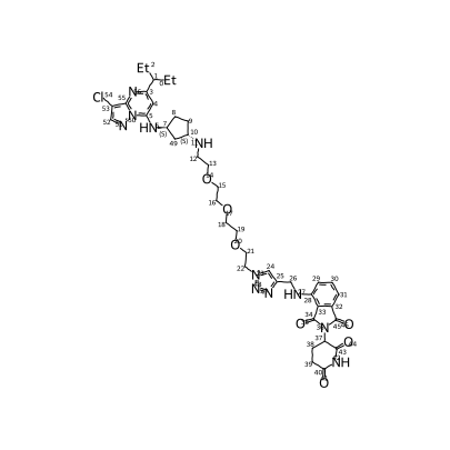 CCC(CC)c1cc(N[C@H]2CC[C@H](NCCOCCOCCOCCn3cc(CNc4cccc5c4C(=O)N(C4CCC(=O)NC4=O)C5=O)nn3)C2)n2ncc(Cl)c2n1